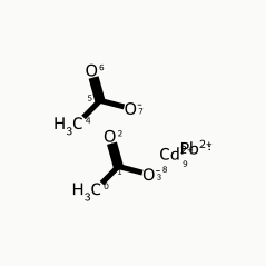 CC(=O)[O-].CC(=O)[O-].[Cd+2].[Pb+2]